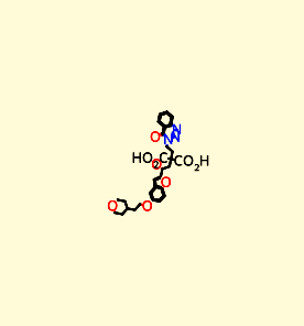 O=C(CC(CCn1nnc2ccccc2c1=O)(C(=O)O)C(=O)O)c1cc2cc(OCCC3CCOCC3)ccc2o1